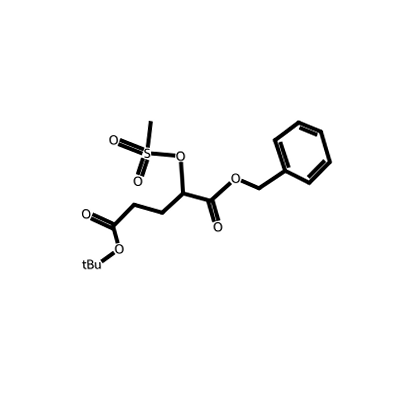 CC(C)(C)OC(=O)CCC(OS(C)(=O)=O)C(=O)OCc1ccccc1